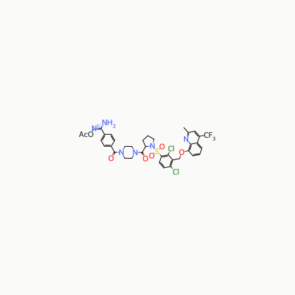 CC(=O)O/N=C(/N)c1ccc(C(=O)N2CCN(C(=O)C3CCCN3S(=O)(=O)c3ccc(Cl)c(COc4cccc5c(C(F)(F)F)cc(C)nc45)c3Cl)CC2)cc1